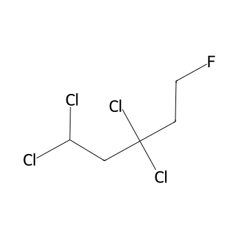 FCCC(Cl)(Cl)CC(Cl)Cl